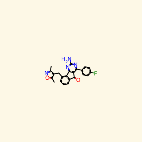 Cc1noc(C)c1Cc1cccc2c1-c1nc(N)nc(-c3ccc(F)cc3)c1C2=O